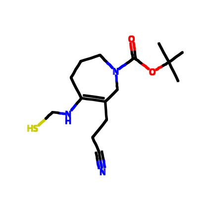 CC(C)(C)OC(=O)N1CCCC(NCS)=C(CCC#N)C1